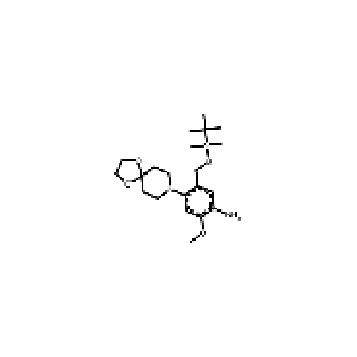 COc1cc(N2CCC3(CC2)OCCO3)c(CO[Si](C)(C)C(C)(C)C)cc1N